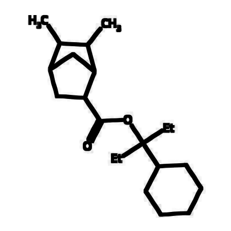 CCC(CC)(OC(=O)C1CC2CC1C(C)C2C)C1CCCCC1